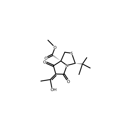 COC(=O)[C@]12CS[C@H](C(C)(C)C)N1C(=O)/C(=C(/C)O)C2=O